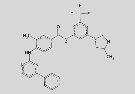 Cc1cc(C(=O)Nc2cc(N3C=NC(C)C3)cc(C(F)(F)F)c2)ccc1Nc1nccc(-c2cccnc2)n1